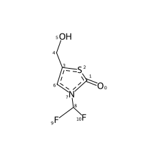 O=c1sc(CO)cn1C(F)F